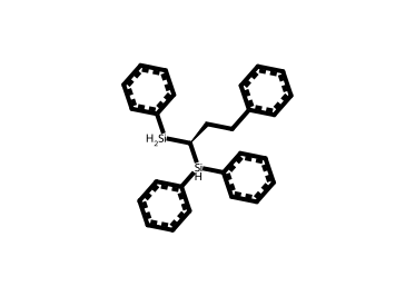 c1ccc(CC[C@H]([SiH2]c2ccccc2)[SiH](c2ccccc2)c2ccccc2)cc1